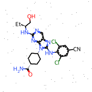 CC[C@@H](CO)Nc1ncc2nc(Nc3c(Cl)cc(C#N)cc3Cl)n([C@H]3CC[C@@H](C(N)=O)CC3)c2n1